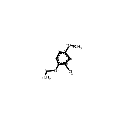 [CH2]COc1ccc(OC)cc1Cl